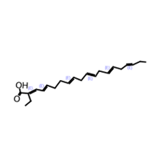 CC/C=C/C/C=C/C/C=C/C/C=C/CC/C=C/C=C(\CC)C(=O)O